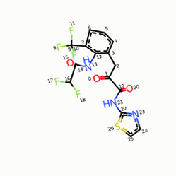 O=C(Cc1cccc(C(F)(F)F)c1NC(=O)C(F)F)C(=O)Nc1nccs1